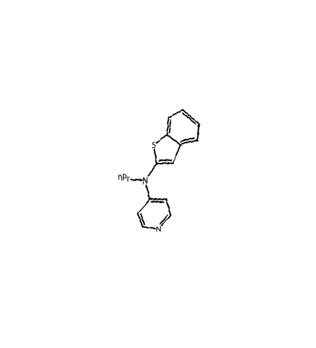 CCCN(c1ccncc1)c1cc2ccccc2s1